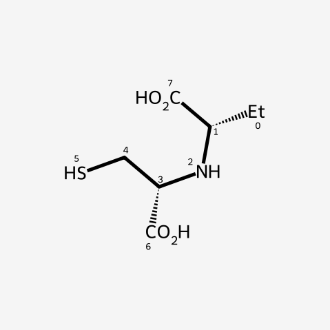 CC[C@H](N[C@@H](CS)C(=O)O)C(=O)O